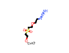 N=[N+]=NCCOCCS(=O)(=O)CCOC=O